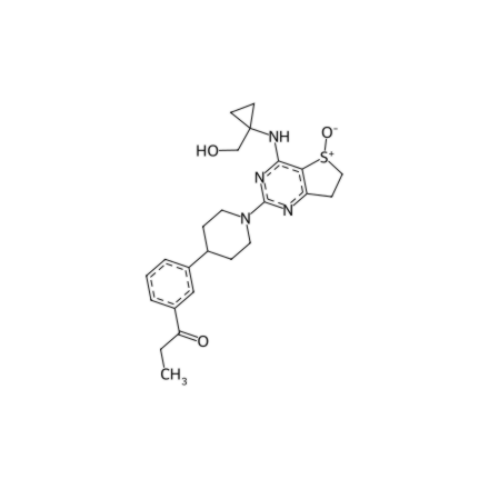 CCC(=O)c1cccc(C2CCN(c3nc4c(c(NC5(CO)CC5)n3)[S+]([O-])CC4)CC2)c1